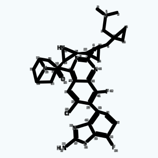 CN(C)CC1(COc2nc(N3CC4CC(C3)N4C(=O)[C@H]3N[C@H]3C3CC3)c3cc(Cl)c(-c4ccc(F)c5sc(N)nc45)c(F)c3n2)CC1